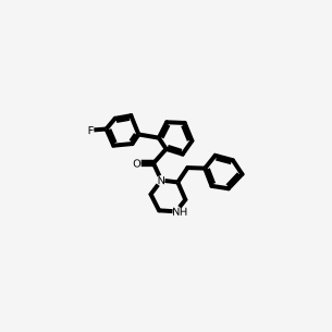 O=C(c1ccccc1-c1ccc(F)cc1)N1CCNCC1Cc1ccccc1